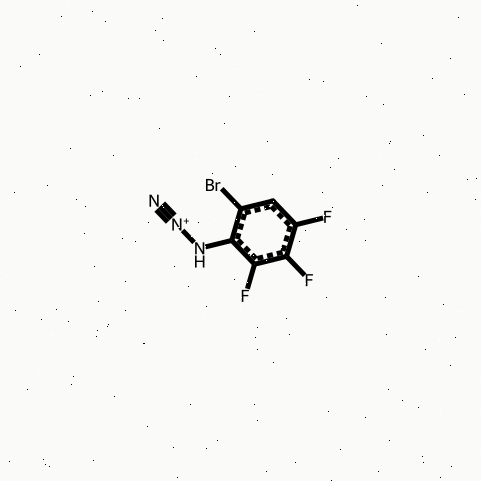 N#[N+]Nc1c(Br)cc(F)c(F)c1F